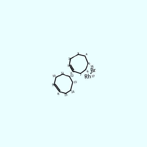 C1=C\CCCCCC/1.C1=C\CCCCCC/1.[Br][Rh]